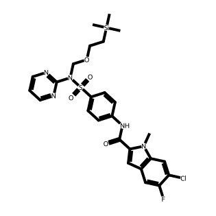 Cn1c(C(=O)Nc2ccc(S(=O)(=O)N(COCC[Si](C)(C)C)c3ncccn3)cc2)cc2cc(F)c(Cl)cc21